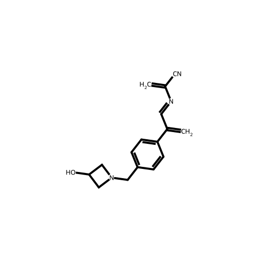 C=C(C#N)/N=C/C(=C)c1ccc(CN2CC(O)C2)cc1